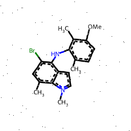 COc1ccc(C)c(Nc2c(Br)cc(C)c3c2ccn3C)c1C